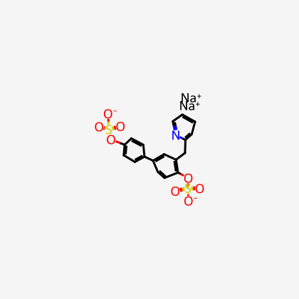 O=S(=O)([O-])Oc1ccc(-c2ccc(OS(=O)(=O)[O-])c(Cc3ccccn3)c2)cc1.[Na+].[Na+]